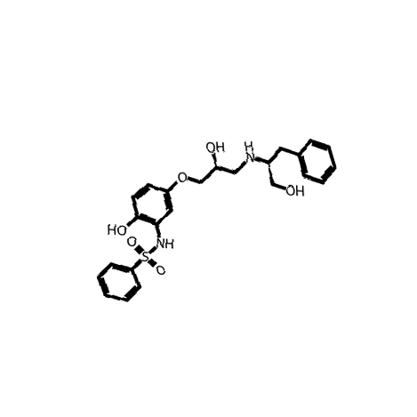 O=S(=O)(Nc1cc(OC[C@@H](O)CN[C@H](CO)Cc2ccccc2)ccc1O)c1ccccc1